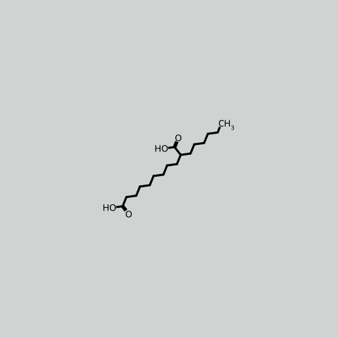 CCCCCCC(CCCCCCCCC(=O)O)C(=O)O